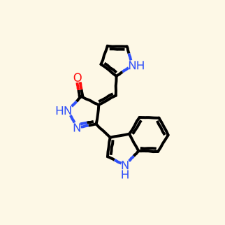 O=C1NN=C(c2c[nH]c3ccccc23)C1=Cc1ccc[nH]1